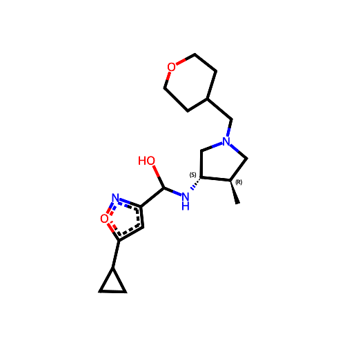 C[C@@H]1CN(CC2CCOCC2)C[C@H]1NC(O)c1cc(C2CC2)on1